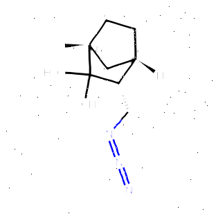 CC1(C)[C@@H]2CC[C@@H](C2)[C@@H]1CN=[N+]=[N-]